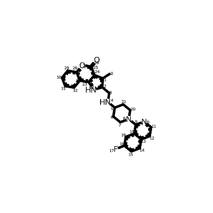 Cc1c(CNC2CCN(c3nccc4ccc(F)cc34)CC2)[nH]c2c1c(=O)oc1ccccc12